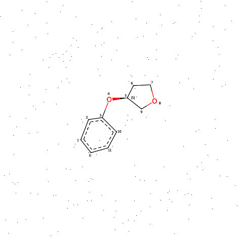 [c]1ccc(O[C@H]2CCOC2)cc1